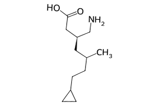 CC(CCC1CC1)C[C@H](CN)CC(=O)O